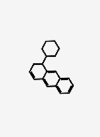 C1=Cc2cc3ccccc3cc2C(C2CCCCC2)C1